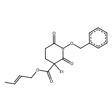 C/C=C/COC(=O)C1(CC)CCC(=O)N(OCc2ccccc2)C1=O